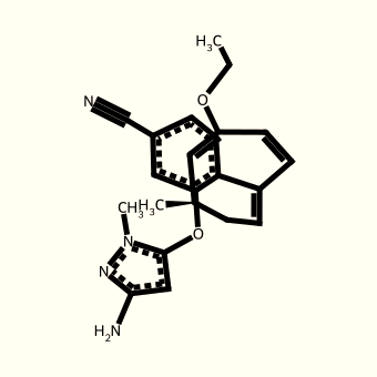 CCOC1=C/[C@H](C)C/C=C(c2ccc(C#N)cc2Oc2cc(N)nn2C)/C=C\1